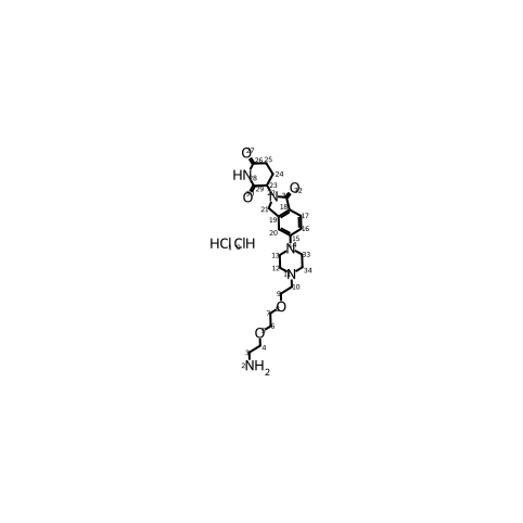 Cl.Cl.NCCOCCOCCN1CCN(c2ccc3c(c2)CN(C2CCC(=O)NC2=O)C3=O)CC1